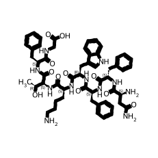 C[C@@H](O)[C@H](NC(=O)[C@H](CCCCN)NC(=O)[C@@H](Cc1c[nH]c2ccccc12)NC(=O)[C@H](Cc1ccccc1)NC(=O)[C@H](Cc1ccccc1)NC(=O)[C@@H](N)CC(N)=O)C(=O)N[C@@H](Cc1ccccc1)C(=O)NCC(=O)O